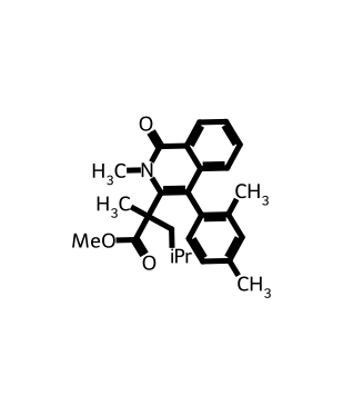 COC(=O)C(C)(CC(C)C)c1c(-c2ccc(C)cc2C)c2ccccc2c(=O)n1C